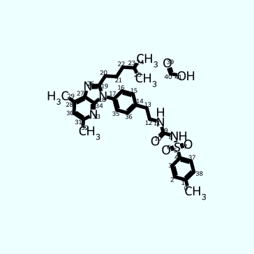 Cc1ccc(S(=O)(=O)NC(=O)NCCc2ccc(-n3c(CCCC(C)C)nc4c(C)cc(C)nc43)cc2)cc1.O=CO